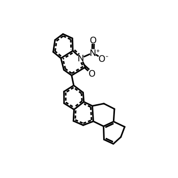 O=c1c(-c2ccc3ccc4c(c3c2)CCC2=C4C=CCC2)cc2ccccc2n1[N+](=O)[O-]